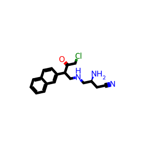 N#CC[C@H](N)CNCC(C(=O)CCl)c1ccc2ccccc2c1